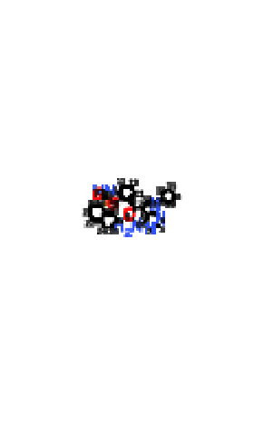 Nc1ncnc2c1c(C(=O)c1cccc(NS(=O)(=O)c3cccc4ccccc34)c1)cn2C1CCCC1